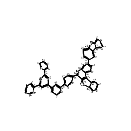 c1ccc(-c2cc(-c3cccc(-c4ccc(-c5nc6cc(-c7ccc8sc9ccccc9c8c7)ccc6c6c5oc5ccccc56)cc4)c3)cc(-c3ccccn3)n2)nc1